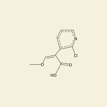 CO/C=C(\C(=O)O)c1cccnc1Cl